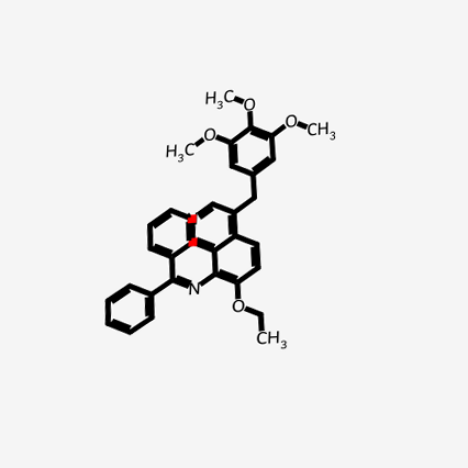 CCOc1ccc2c(Cc3cc(OC)c(OC)c(OC)c3)cncc2c1N=C(c1ccccc1)c1ccccc1